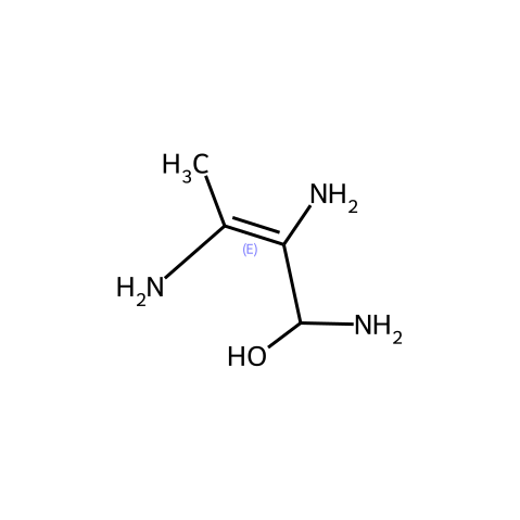 C/C(N)=C(\N)C(N)O